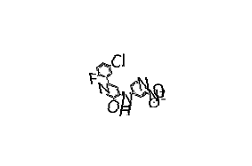 O=[N+]([O-])c1cc(Nc2cc(-c3cc(Cl)ccc3F)ncc2O)ccn1